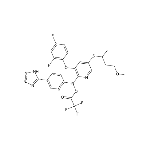 COCCC(C)Sc1cnc(N(OC(=O)C(F)(F)F)c2ccc(-c3nnn[nH]3)cn2)c(Oc2ccc(F)cc2F)c1